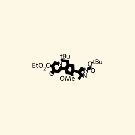 CCOC(=O)c1cn2c(cc1=O)-c1cc(OC)c(-c3cn(C(=O)OC(C)(C)C)nc3C)cc1CC2C(C)(C)C